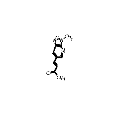 Cn1nnc2cc(/C=C/C(=O)O)cnc21